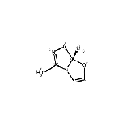 CC1=NO[C@]2(C)OC=CN12